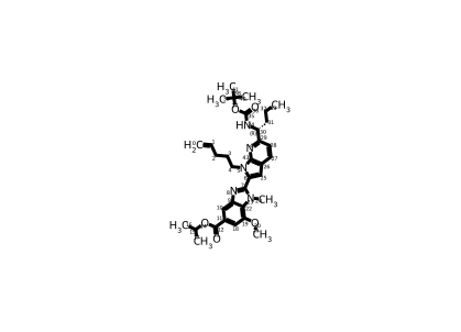 C=CCCCn1c(-c2nc3cc(C(=O)OC(C)C)cc(OC)c3n2C)cc2ccc([C@@H](CCC)NC(=O)OC(C)(C)C)nc21